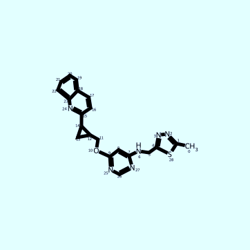 Cc1nnc(CNc2cc(OCC3CC3c3ccc4ccccc4n3)ncn2)s1